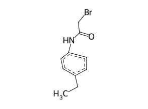 CCc1ccc(NC(=O)CBr)cc1